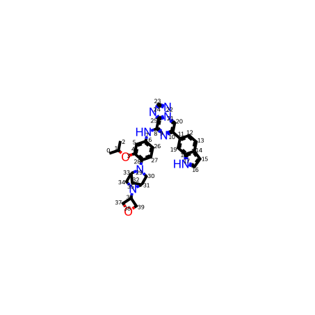 CC(C)Oc1cc(Nc2nc(-c3ccc4cc[nH]c4c3)cn3ncnc23)ccc1N1CC2CC1CN2C1COC1